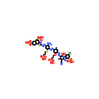 Cc1cc(N=Nc2c(C)c(C#N)c3nc4c(S(=O)(=O)O)cc(Cl)cc4n3c2O)c(OCCCS(=O)(=O)O)cc1N=Nc1cc(N)c(N=Nc2nc3c(S(=O)(=O)O)cc4cc(S(=O)(=O)O)ccc4c3s2)cc1SCCCS(=O)(=O)O